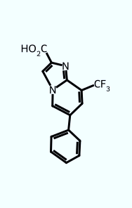 O=C(O)c1cn2cc(-c3ccccc3)cc(C(F)(F)F)c2n1